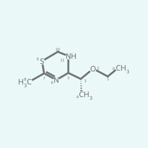 CCO[C@H](C)C1N=C(C)SCN1